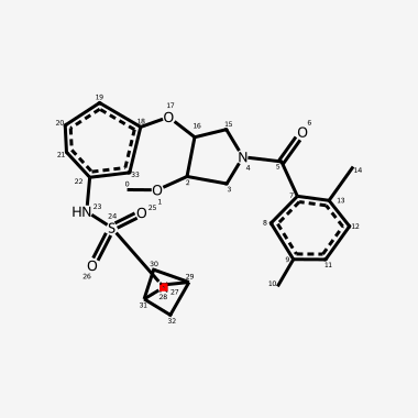 COC1CN(C(=O)c2cc(C)ccc2C)CC1Oc1cccc(NS(=O)(=O)N2CC3CC2C3)c1